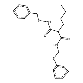 CCCCC(C(=O)NSSc1ccccc1)C(=O)NSSc1ccccc1